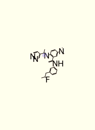 C=C(Nc1cccc(CC(C)F)c1)c1cc(N(C)C)ccc1/N=C(\C)c1ccnnc1